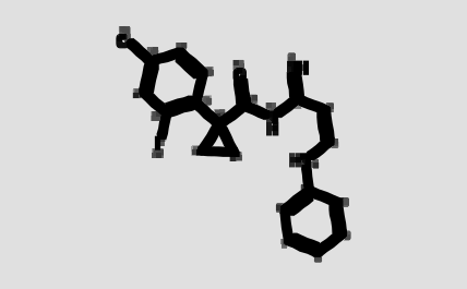 N=C(/C=C\Nc1ccccc1)NC(=O)C1(c2ccc(Cl)cc2F)CC1